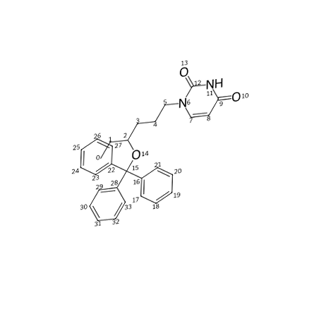 CCC(CCCn1ccc(=O)[nH]c1=O)OC(c1ccccc1)(c1ccccc1)c1ccccc1